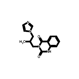 CC(Cn1ccnc1)Cn1c(=O)[nH]c2ccccc2c1=O